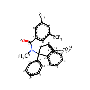 CN(C(=O)c1cc(C(F)(F)F)cc(C(F)(F)F)c1)C(CC=CC(=O)O)(c1ccccc1)c1ccccc1